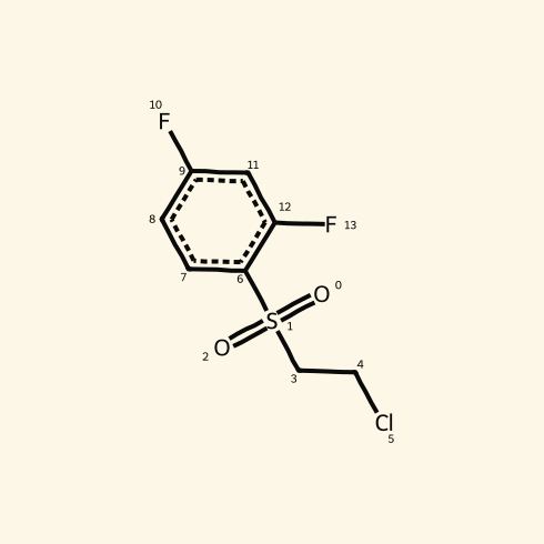 O=S(=O)(CCCl)c1ccc(F)cc1F